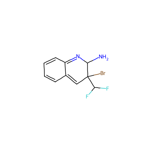 NC1N=c2ccccc2=CC1(Br)C(F)F